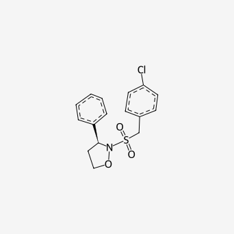 O=S(=O)(Cc1ccc(Cl)cc1)N1OCC[C@H]1c1ccccc1